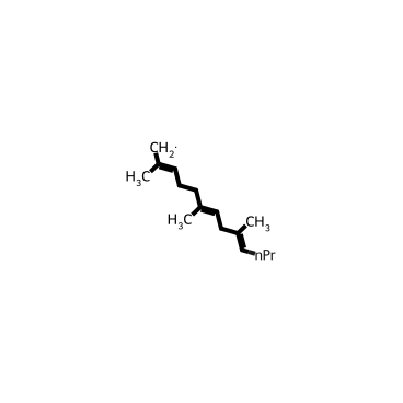 [CH2]/C(C)=C/CC/C(C)=C/C/C(C)=C/CCC